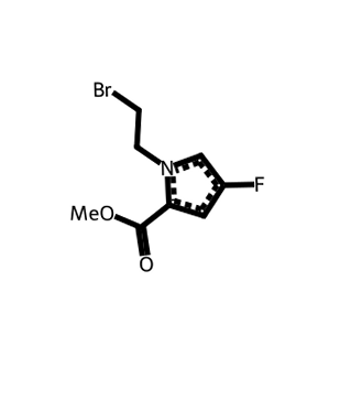 COC(=O)c1cc(F)cn1CCBr